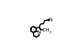 Cc1c(CCCC#N)c2cccc3c2n1CCC3